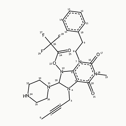 CC#CCN1c2c(n(CCc3ccccc3)c(=O)n(C)c2=O)N(OC(=O)C(F)(F)F)C1N1CCNCC1